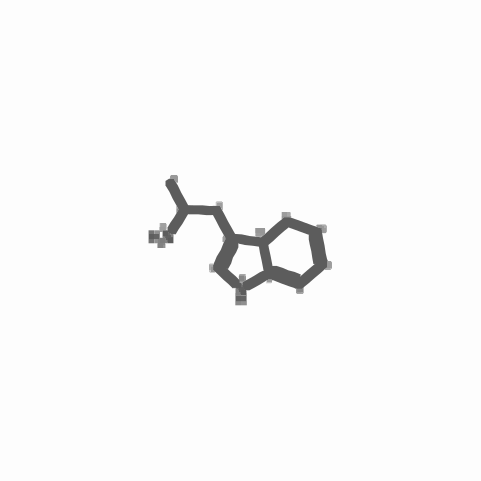 CC(N)CC1=CNC2=CC=CCC12